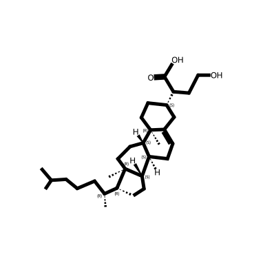 CC(C)CCC[C@@H](C)[C@H]1CC[C@H]2[C@@H]3CC=C4C[C@@H](C(CCO)C(=O)O)CC[C@]4(C)[C@H]3CC[C@]12C